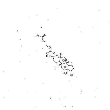 CC(=O)[C@H]1CC[C@H]2[C@H]3CC[C@H]4C[C@@](C)(OC(=O)OCCOC(=O)C(C)C)CC[C@]4(C)[C@H]3CC[C@]12C